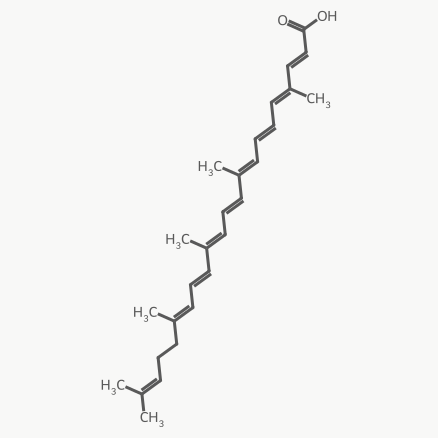 CC(C)=CCC/C(C)=C/C=C/C(C)=C/C=C/C(C)=C/C=C/C=C(C)/C=C/C(=O)O